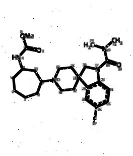 COC(=O)NC1CCCCC(N2CCC3(CC2)CN(C(=O)N(C)C)c2ccc(F)cc23)C1